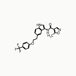 Cc1oncc1C(=O)Nc1c[nH]c2ccc(CCOc3ccc(C(F)(F)F)cc3)cc12